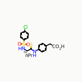 CCC[C@H](NS(=O)(=O)c1ccc(Cl)cc1)C(=S)Nc1ccc(CC(=O)O)cc1